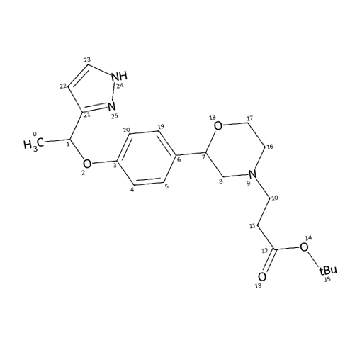 CC(Oc1ccc(C2CN(CCC(=O)OC(C)(C)C)CCO2)cc1)c1cc[nH]n1